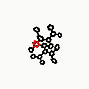 c1ccc(-c2cc(-c3ccccc3)cc(-c3cc(-c4cc(-c5ccccc5)cc(-c5ccccc5)c4)cc(-c4ccccc4-c4ccc(-c5ncnc(-c6ccccc6)n5)cc4-c4cc(-c5cc(-c6ccccc6)cc(-c6ccccc6)c5)cc(-c5cc(-c6ccccc6)cc(-c6ccccc6)c5)c4)c3)c2)cc1